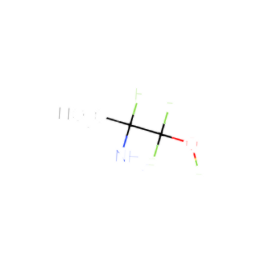 NC(F)(C(=O)O)C(F)(F)OF